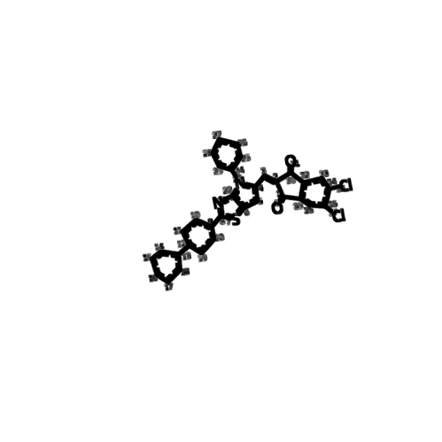 O=C1C(=Cc2cc3sc(-c4ccc(-c5ccccc5)cc4)nc3n2-c2ccccc2)C(=O)c2cc(Cl)c(Cl)cc21